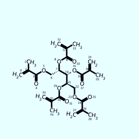 C=C(C)C(=O)OC[C@H](OC(=O)C(=C)C)[C@H](OC(=O)C(=C)C)[C@@H](COC(=O)C(=C)C)OC(=O)C(=C)C